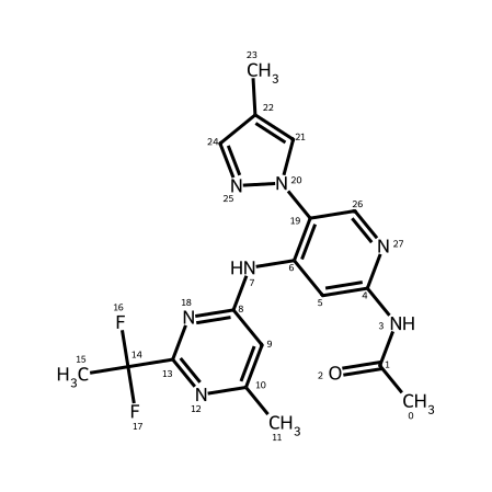 CC(=O)Nc1cc(Nc2cc(C)nc(C(C)(F)F)n2)c(-n2cc(C)cn2)cn1